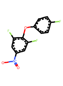 O=[N+]([O-])c1cc(F)c(Oc2ccc(F)cc2)c(F)c1